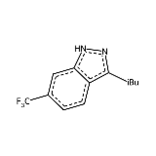 CCC(C)c1n[nH]c2cc(C(F)(F)F)ccc12